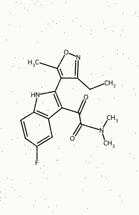 CCc1noc(C)c1-c1[nH]c2ccc(F)cc2c1C(=O)C(=O)N(C)C